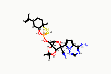 C=C(C)C1CCC(C)(S)C(O[PH](=S)OC2C3OC(C#N)(c4ccc5c(N)ncnn45)C4OC(C)(C)OC234)C1